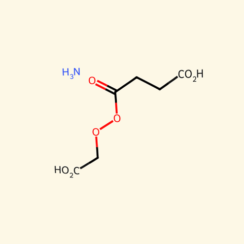 N.O=C(O)CCC(=O)OOCC(=O)O